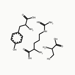 N=C(N)NCCCC(N)C(=O)O.NC(CS)C(=O)O.NC(Cc1ccc(O)cc1)C(=O)O